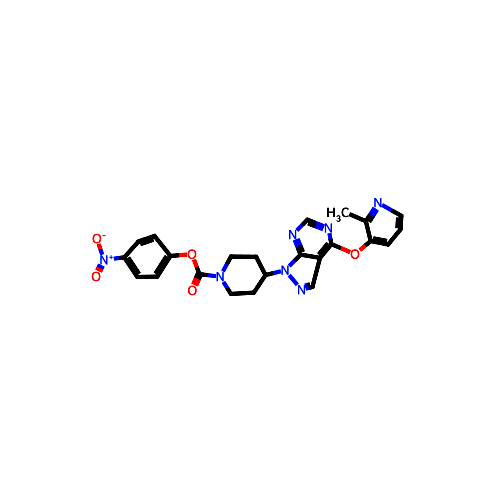 Cc1ncccc1Oc1ncnc2c1cnn2C1CCN(C(=O)Oc2ccc([N+](=O)[O-])cc2)CC1